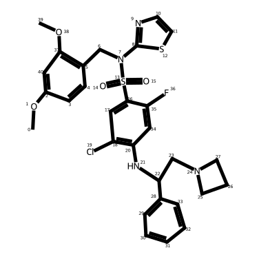 COc1ccc(CN(c2nccs2)S(=O)(=O)c2cc(Cl)c(NC(CN3CCC3)c3ccccc3)cc2F)c(OC)c1